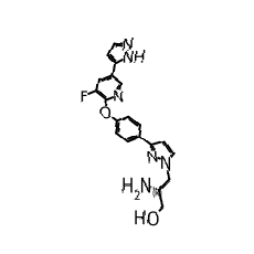 N[C@@H](CO)Cn1ccc(-c2ccc(Oc3ncc(-c4ccn[nH]4)cc3F)cc2)n1